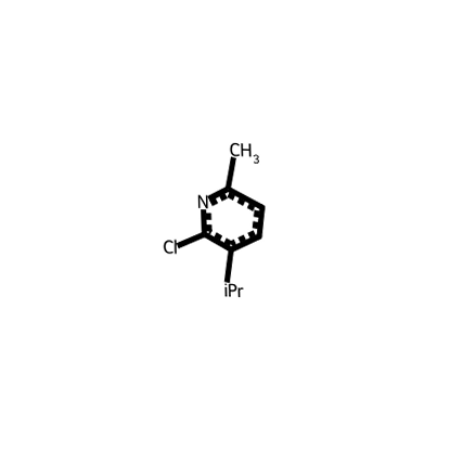 Cc1ccc(C(C)C)c(Cl)n1